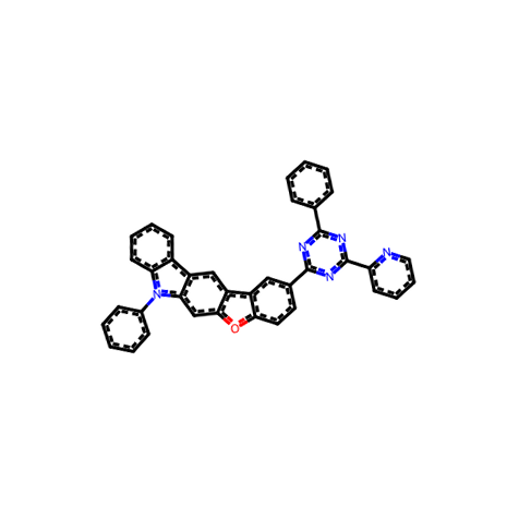 c1ccc(-c2nc(-c3ccc4oc5cc6c(cc5c4c3)c3ccccc3n6-c3ccccc3)nc(-c3ccccn3)n2)cc1